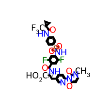 Cn1ccc(=O)n(-c2ccc(C[C@H](NC(=O)c3cc(F)c(NS(=O)(=O)c4ccc(NC(=O)C5(C(F)(F)F)CC5)cc4)cc3F)C(=O)O)cn2)c1=O